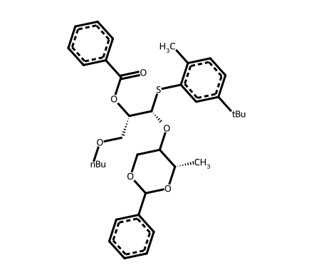 CCCCOC[C@H](OC(=O)c1ccccc1)[C@@H](OC1COC(c2ccccc2)O[C@H]1C)Sc1cc(C(C)(C)C)ccc1C